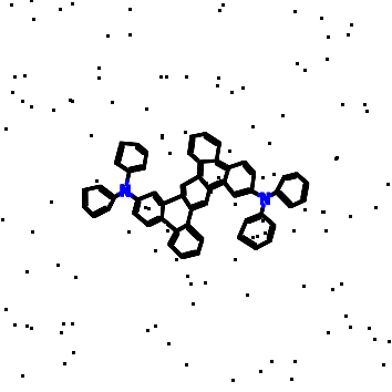 c1ccc(N(c2ccccc2)c2ccc3c4ccccc4c4cc5c6cc(N(c7ccccc7)c7ccccc7)ccc6c6ccccc6c5cc4c3c2)cc1